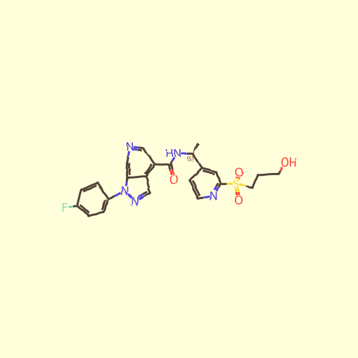 C[C@H](NC(=O)c1cncc2c1cnn2-c1ccc(F)cc1)c1ccnc(S(=O)(=O)CCCO)c1